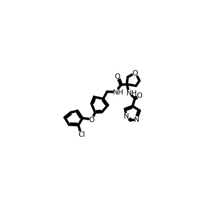 O=C(NC1(C(=O)NCc2ccc(Oc3ccccc3Cl)cc2)CCOC1)c1cncnc1